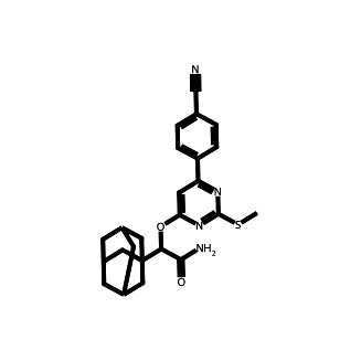 CSc1nc(OC(C(N)=O)C23CC4CC(CC(C4)C2)C3)cc(-c2ccc(C#N)cc2)n1